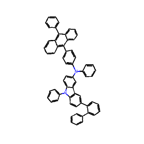 c1ccc(-c2ccccc2-c2ccc3c(c2)c2cc(N(c4ccccc4)c4ccc(-c5c6ccccc6c(-c6ccccc6)c6ccccc56)cc4)ccc2n3-c2ccccc2)cc1